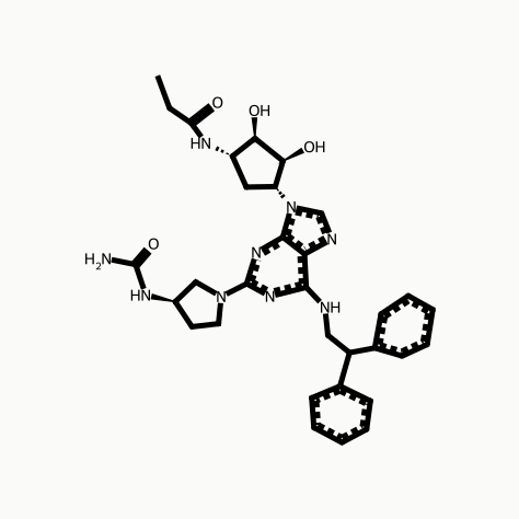 CCC(=O)N[C@H]1C[C@@H](n2cnc3c(NCC(c4ccccc4)c4ccccc4)nc(N4CC[C@@H](NC(N)=O)C4)nc32)[C@H](O)[C@@H]1O